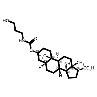 C[C@]12CC[C@H](OC(=O)NCCCO)C[C@H]1CC[C@@H]1[C@@H]2CC[C@]2(C)[C@@H](C(=O)O)CC[C@]12N